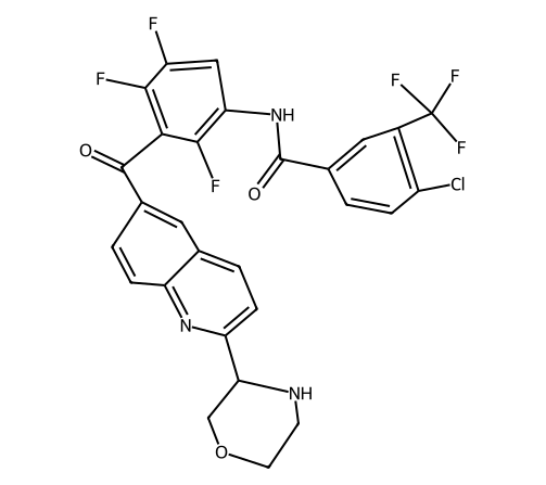 O=C(Nc1cc(F)c(F)c(C(=O)c2ccc3nc(C4COCCN4)ccc3c2)c1F)c1ccc(Cl)c(C(F)(F)F)c1